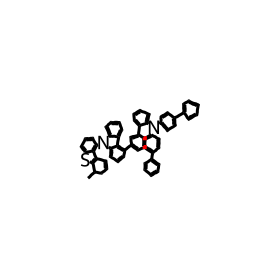 CC1CC=Cc2c1sc1cccc(-n3c4ccccc4c4c(-c5cccc(-c6ccccc6N(c6ccc(-c7ccccc7)cc6)c6ccc(-c7ccccc7)cc6)c5)cccc43)c21